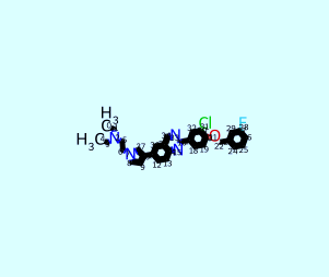 CCN(CC)CCn1ccc(-c2ccc3nc(-c4ccc(OCc5cccc(F)c5)c(Cl)c4)ncc3c2)c1